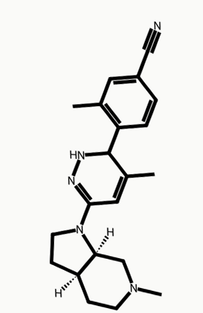 CC1=CC(N2CC[C@@H]3CCN(C)C[C@@H]32)=NNC1c1ccc(C#N)cc1C